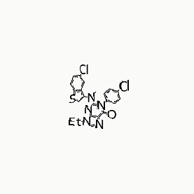 CCn1cnc2c(=O)n(-c3ccc(Cl)cc3)c(N(C)c3csc4ccc(Cl)cc34)nc21